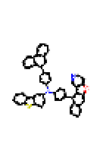 c1ccc2c(-c3ccc(N(c4ccc(-c5cc6ccccc6c6ccccc56)cc4)c4ccc5sc6ccccc6c5c4)cc3)c3c(cc2c1)oc1ccncc13